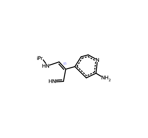 CC(C)N/C=C(\C=N)c1ccnc(N)c1